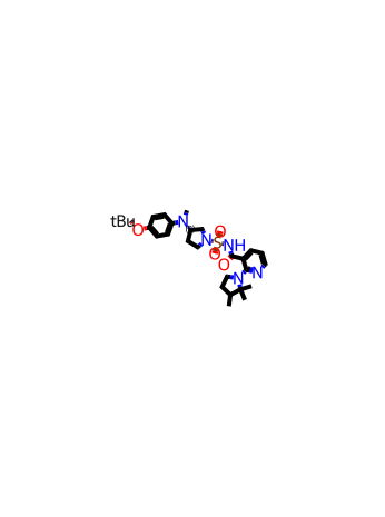 CC1CCN(c2ncccc2C(=O)NS(=O)(=O)N2CC[C@@H](N(C)c3ccc(OC(C)(C)C)cc3)C2)C1(C)C